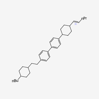 CCC/C=C/C1CCC(c2ccc(-c3ccc(CCC4CCC(CCCC)CC4)cc3)cc2)CC1